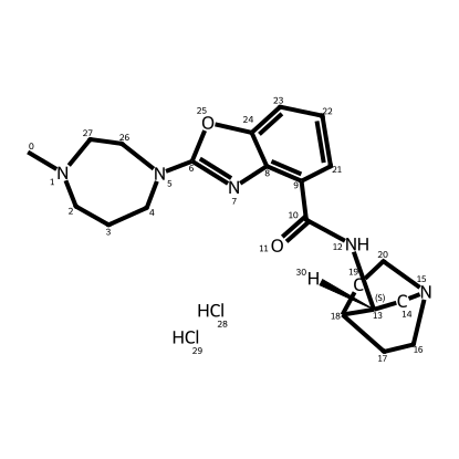 CN1CCCN(c2nc3c(C(=O)N[C@@H]4CN5CCC4CC5)cccc3o2)CC1.Cl.Cl